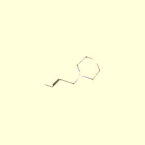 C/C=C/CN1CCOCC1